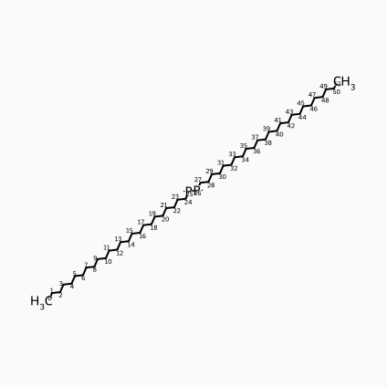 CCCCCCCCCCCCCCCCCCCCCCCCC[P][P]CCCCCCCCCCCCCCCCCCCCCCCCC